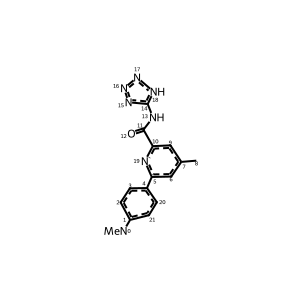 CNc1ccc(-c2cc(C)cc(C(=O)Nc3nnn[nH]3)n2)cc1